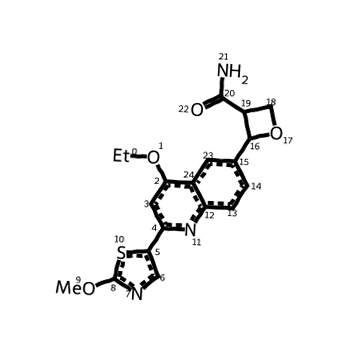 CCOc1cc(-c2cnc(OC)s2)nc2ccc(C3OCC3C(N)=O)cc12